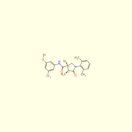 CCOc1cc(NC(=O)[C@]2(CC)CN(c3c(C)cccc3C)C(=O)[C@H]2C)cc(C(F)(F)F)c1